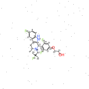 CC1Cc2c([nH]c3ccc(F)cc23)C(c2c(F)cc(OCCO)cc2F)N1CC(C)(C)F